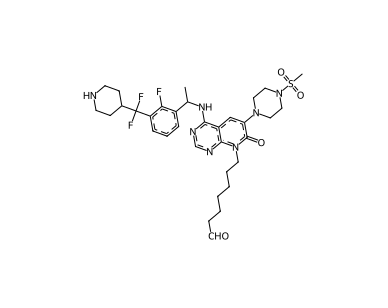 CC(Nc1ncnc2c1cc(N1CCN(S(C)(=O)=O)CC1)c(=O)n2CCCCCCC=O)c1cccc(C(F)(F)C2CCNCC2)c1F